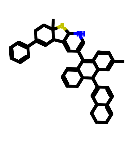 CC1=CC2C(=C(C3=CNC4SC5(C)CCC(c6ccccc6)=CC5C4=C3)C3=CC=CCC3C2C2=CC3CCCC=C3C=C2)C=C1